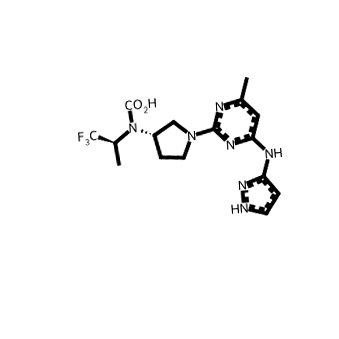 Cc1cc(Nc2cc[nH]n2)nc(N2CC[C@H](N(C(=O)O)[C@@H](C)C(F)(F)F)C2)n1